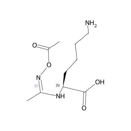 CC(=O)O/N=C(/C)N[C@@H](CCCCN)C(=O)O